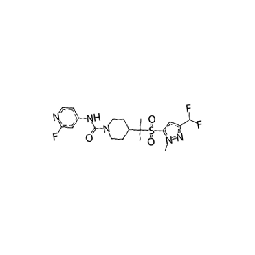 Cn1nc(C(F)F)cc1S(=O)(=O)C(C)(C)C1CCN(C(=O)Nc2ccnc(F)c2)CC1